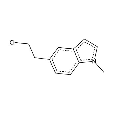 Cn1ccc2cc(CCCl)ccc21